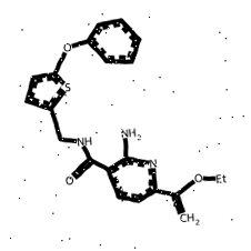 C=C(OCC)c1ccc(C(=O)NCc2ccc(Oc3ccccc3)s2)c(N)n1